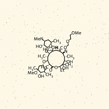 CC[C@H]1OC(=O)[C@H](C)[C@@H](O[C@H]2C[C@@](C)(OC)[C@@H](O)[C@H](C)O2)[C@H](C)[C@@H](O[C@@H]2O[C@H](C)C[C@H](NC)[C@H]2O)[C@](C)(O)C[C@@H](C)/C(=N\OCOCCOC)[C@H](C)[C@@H](O)[C@]1(C)O